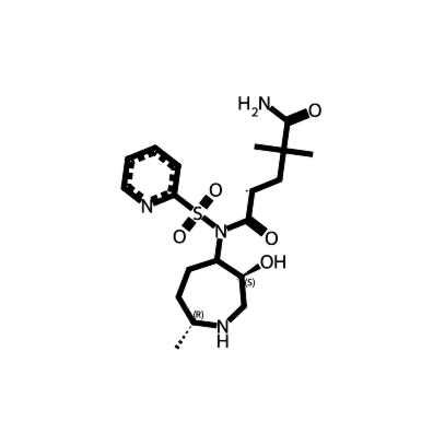 C[C@@H]1CCC(N(C(=O)[CH]CC(C)(C)C(N)=O)S(=O)(=O)c2ccccn2)[C@@H](O)CN1